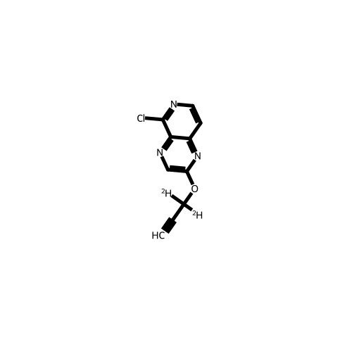 [2H]C([2H])(C#C)Oc1cnc2c(Cl)nccc2n1